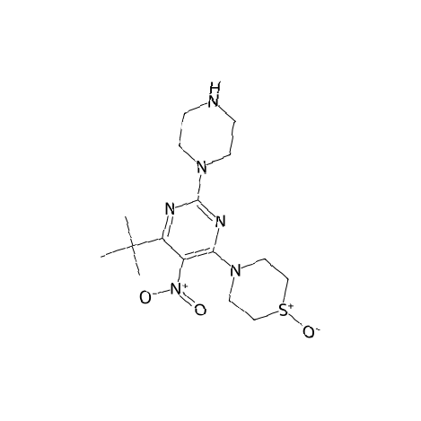 CC(C)(C)c1nc(N2CCNCC2)nc(N2CC[S+]([O-])CC2)c1[N+](=O)[O-]